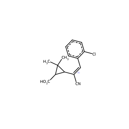 CC1(C)C(C(=O)O)C1/C(C#N)=C\c1ccccc1Cl